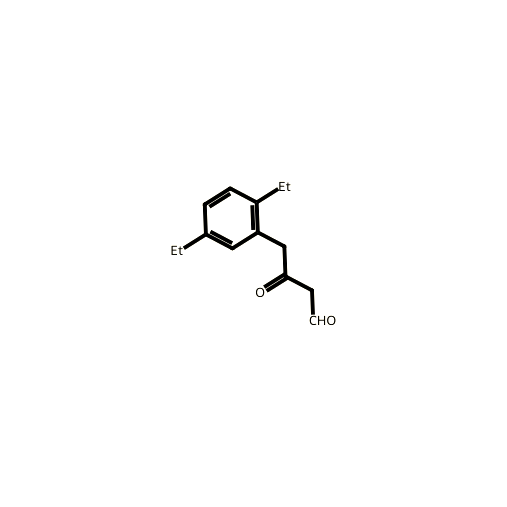 CCc1ccc(CC)c(CC(=O)CC=O)c1